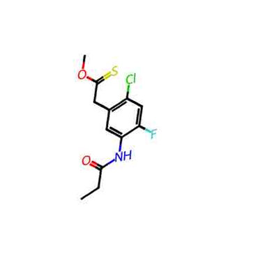 CCC(=O)Nc1cc(CC(=S)OC)c(Cl)cc1F